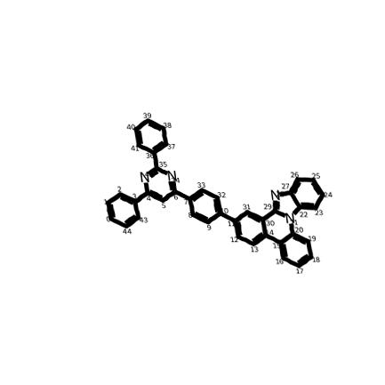 c1ccc(-c2cc(-c3ccc(-c4ccc5c6ccccc6n6c7ccccc7nc6c5c4)cc3)nc(-c3ccccc3)n2)cc1